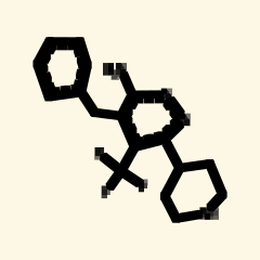 Nc1nnc(C2CCNCC2)c(C(F)(F)F)c1Cc1ccccc1